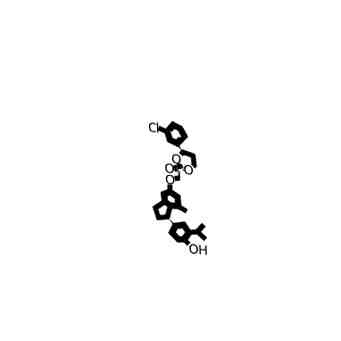 Cc1cc(OC[P@]2(=O)OCC[C@@H](c3cccc(Cl)c3)O2)cc2c1[C@H](c1ccc(O)c(C(C)C)c1)CC2